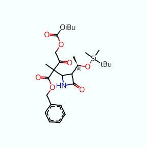 CC(C)COC(=O)OCC(=O)C(C)(C(=O)OCc1ccccc1)C1NC(=O)C1[C@@H](C)O[Si](C)(C)C(C)(C)C